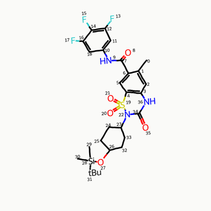 Cc1cc2c(cc1C(=O)Nc1cc(F)c(F)c(F)c1)S(=O)(=O)N(C1CCC(O[Si](C)(C)C(C)(C)C)CC1)C(=O)N2